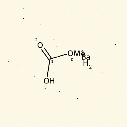 COC(=O)O.[BaH2]